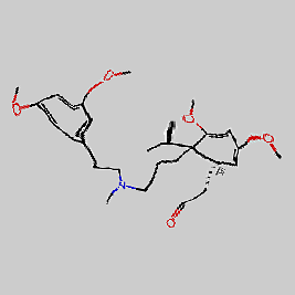 COC1=C[C@H](CC=O)C(CCCN(C)CCc2cc(OC)cc(OC)c2)(C(C)C)C(OC)=C1